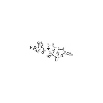 Cc1ccc2c(n1)NC(=O)C21C=CCN(C(=O)OC(C)(C)C)C1